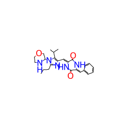 CCCc1nc(/C=c2\[nH]c(=O)/c(=C/c3ccccc3)[nH]c2=O)c(C(C)C)n1C1COCCN1